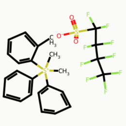 Cc1ccccc1[S+](C)(C)(c1ccccc1)c1ccccc1.O=S(=O)([O-])C(F)(F)C(F)(F)C(F)(F)C(F)(F)F